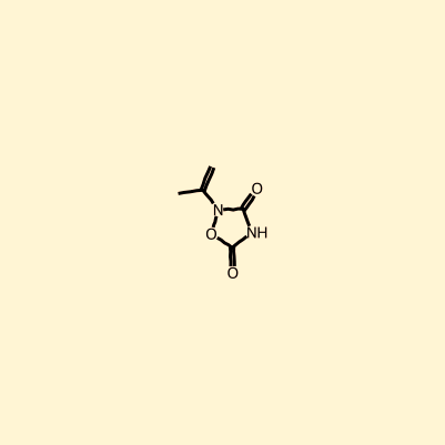 C=C(C)n1oc(=O)[nH]c1=O